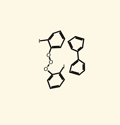 Ic1ccccc1OOOc1ccccc1I.c1ccc(-c2ccccc2)cc1